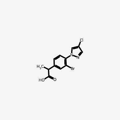 CC(C(=O)O)c1ccc(-n2cc(Cl)cn2)c(Br)c1